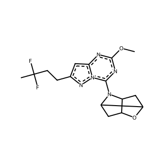 COc1nc(N2C3CC4OC3CC42)n2nc(CCC(C)(F)F)cc2n1